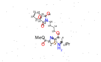 COC(=O)c1csc([C@@H](C[C@@H](N)C(C)C)OCCCCN2C(=O)C3C4C=CC(O4)C3C2=O)n1